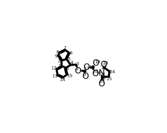 O=C(OCC1c2ccccc2-c2ccccc21)OC(=O)ON1C(=O)CCC1=O